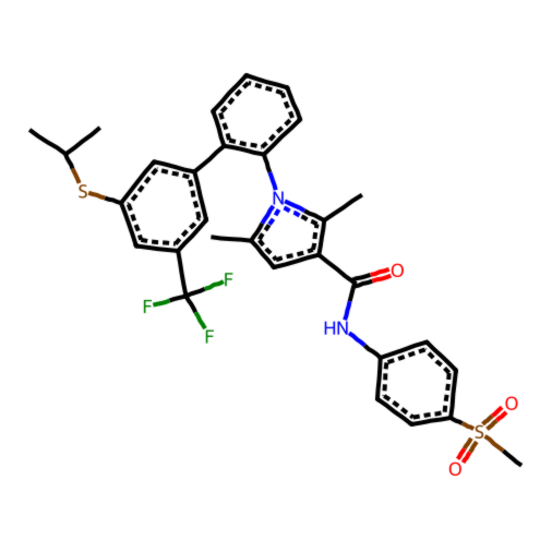 Cc1cc(C(=O)Nc2ccc(S(C)(=O)=O)cc2)c(C)n1-c1ccccc1-c1cc(SC(C)C)cc(C(F)(F)F)c1